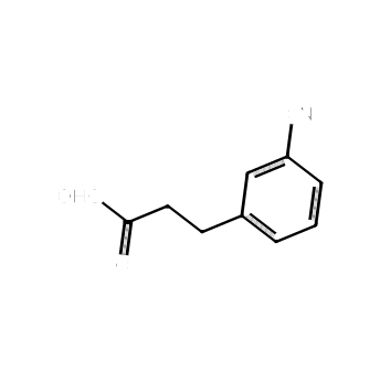 N#Cc1cccc(CCC(=O)C=O)c1